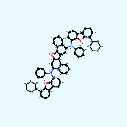 c1ccc(N(c2cc3c(oc4cc(N(c5ccccc5)c5cccc6c5oc5c(C7CCCCC7)cccc56)c5ccccc5c43)c3ccccc23)c2cccc3c2oc2c(C4CCCCC4)cccc23)cc1